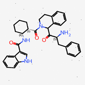 N[C@@H](Cc1ccccc1)C(=O)C1c2ccccc2CCN1C(=O)[C@H]1CCCC[C@H]1NC(=O)c1c[nH]c2ccccc12